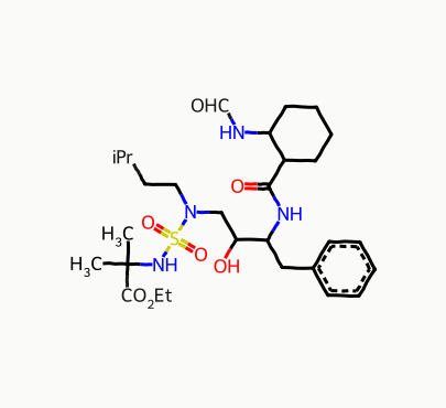 CCOC(=O)C(C)(C)NS(=O)(=O)N(CCC(C)C)CC(O)C(Cc1ccccc1)NC(=O)C1CCCCC1NC=O